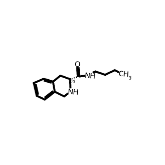 CCCCNC(=O)[C@H]1Cc2ccccc2CN1